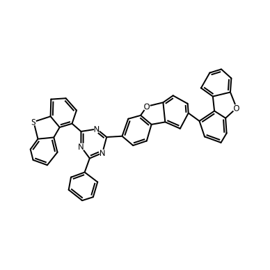 c1ccc(-c2nc(-c3ccc4c(c3)oc3ccc(-c5cccc6oc7ccccc7c56)cc34)nc(-c3cccc4sc5ccccc5c34)n2)cc1